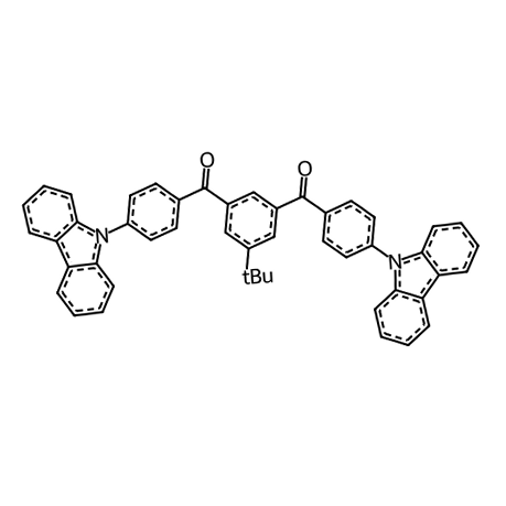 CC(C)(C)c1cc(C(=O)c2ccc(-n3c4ccccc4c4ccccc43)cc2)cc(C(=O)c2ccc(-n3c4ccccc4c4ccccc43)cc2)c1